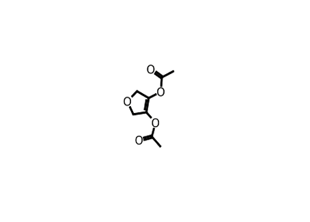 CC(=O)OC1=C(OC(C)=O)COC1